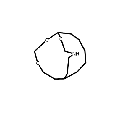 C1CCC2CCCCCC(CC1)CCNCC2